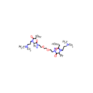 CCCCCCCCCCCC(=O)N(CCCN(C)C)C(C(=O)NCCOCCOCCNC(=O)C(C(C)C)N(CCCN(C)C)C(=O)CCCCCCCCCCC)C(C)C